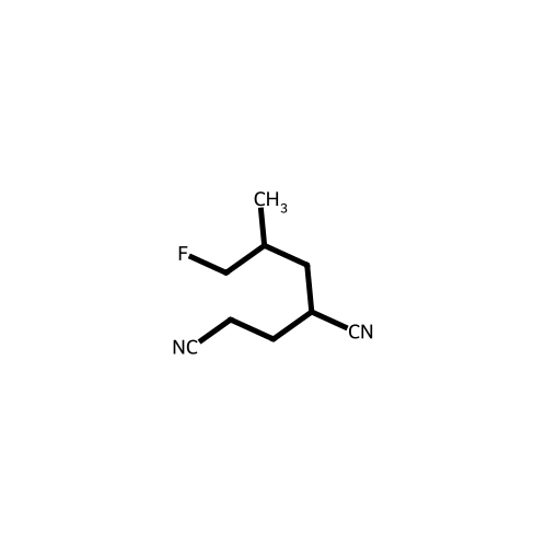 CC(CF)CC(C#N)CCC#N